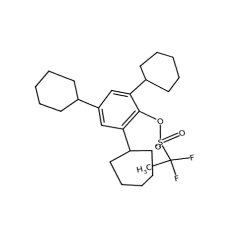 CC(F)(F)S(=O)(=O)Oc1c(C2CCCCC2)cc(C2CCCCC2)cc1C1CCCCC1